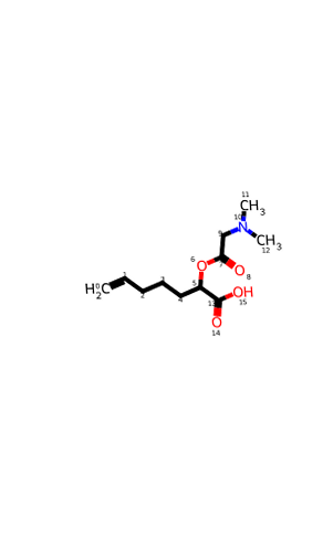 C=CCCCC(OC(=O)CN(C)C)C(=O)O